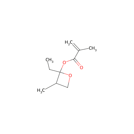 C=C(C)C(=O)OC1(CC)OCC1C